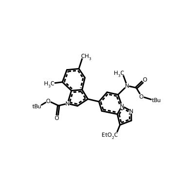 CCOC(=O)c1cnn2c(N(C)C(=O)OC(C)(C)C)cc(-c3cn(C(=O)OC(C)(C)C)c4c(C)cc(C)cc34)cc12